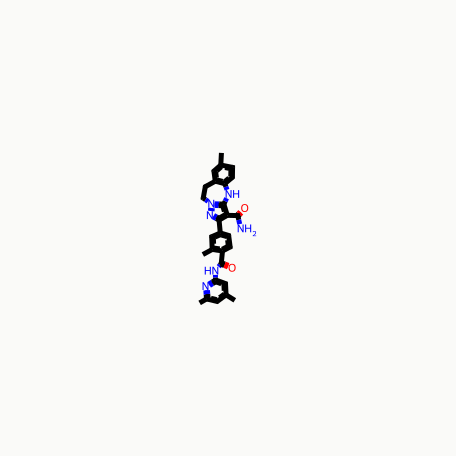 Cc1cc(C)nc(NC(=O)c2ccc(-c3nn4c(c3C(N)=O)Nc3ccc(C)cc3CC4)cc2C)c1